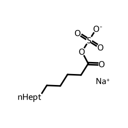 CCCCCCCCCCCC(=O)OS(=O)(=O)[O-].[Na+]